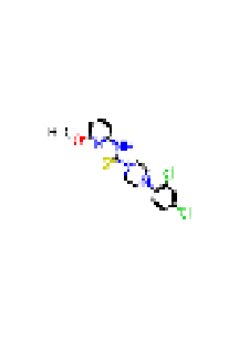 COc1cccc(NC(=S)N2CCN(c3ccc(Cl)cc3Cl)CC2)n1